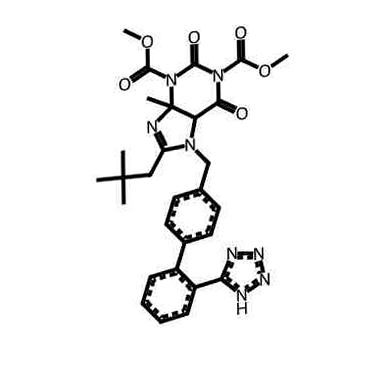 COC(=O)N1C(=O)C2N(Cc3ccc(-c4ccccc4-c4nnn[nH]4)cc3)C(CC(C)(C)C)=NC2(C)N(C(=O)OC)C1=O